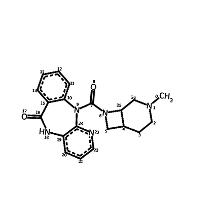 CN1CCC2CN(C(=O)N3c4ccccc4C(=O)Nc4cccnc43)C2C1